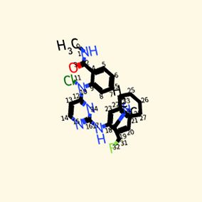 CNC(=O)c1ccccc1N(Cl)c1ccnc(Nc2ccc3c(c2)[C@@H]2CCC3CN(CCF)C2)n1